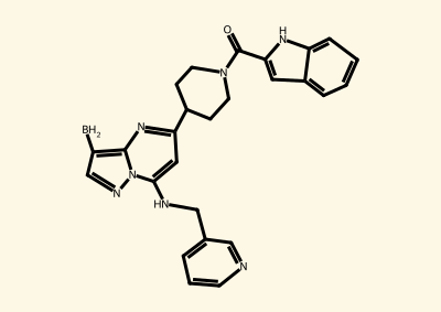 Bc1cnn2c(NCc3cccnc3)cc(C3CCN(C(=O)c4cc5ccccc5[nH]4)CC3)nc12